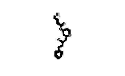 CCCCC(=O)OC1CCOC(CC(=O)CCc2ccccc2)C1